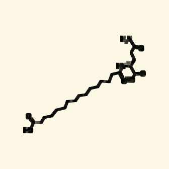 NC(=O)CC[C@H](NC(=O)CCCCCCCCCCCCCCC(=O)O)C(=O)O